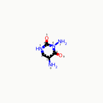 Nc1c[nH]c(=O)n(N)c1=O